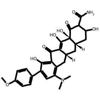 COc1ccc(-c2cc(N(C)C)c3c(c2O)C(=O)C2=C(O)[C@]4(O)C(=O)C(C(N)=O)C(O)C[C@@H]4C[C@@H]2C3)cc1